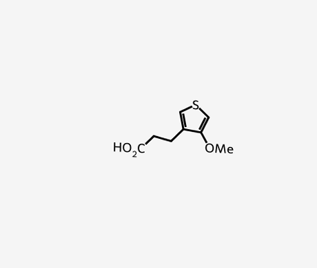 COc1cscc1CCC(=O)O